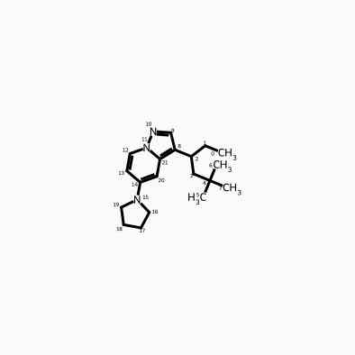 CCC(CC(C)(C)C)c1cnn2ccc(N3CCCC3)cc12